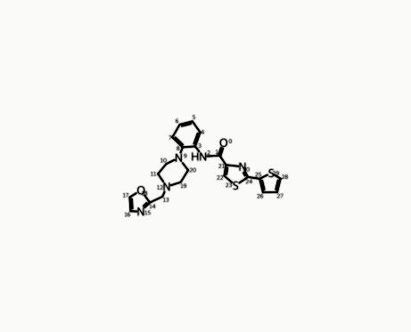 O=C(Nc1ccccc1N1CCN(Cc2ncco2)CC1)c1csc(-c2cccs2)n1